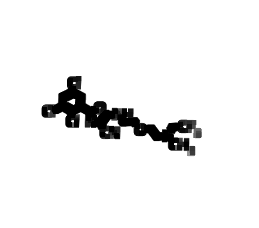 CN(CCOCCNc1oc(-c2cc(Cl)cc(Cl)c2Cl)nc1C#N)CC(F)(F)F